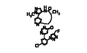 C[C@@H]1CCC[C@H](n2cnc(-c3cc(Cl)ccc3-n3cc(CF)nn3)cc2=O)c2cc(ccn2)-c2c(cnn2C)NC1=O